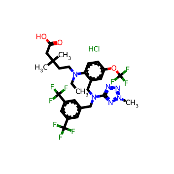 CCN(CCC(C)(C)CC(=O)O)c1ccc(OC(F)(F)F)cc1CN(Cc1cc(C(F)(F)F)cc(C(F)(F)F)c1)c1nnn(C)n1.Cl